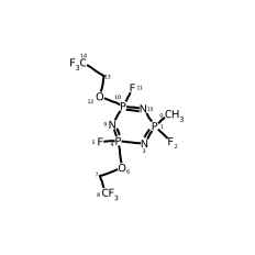 CP1(F)=NP(F)(OCC(F)(F)F)=NP(F)(OCC(F)(F)F)=N1